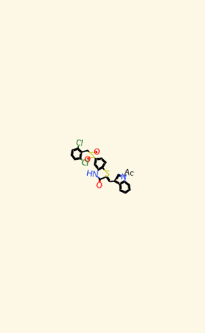 CC(=O)n1cc(/C=C2\Sc3ccc(S(=O)(=O)Cc4c(Cl)cccc4Cl)cc3NC2=O)c2ccccc21